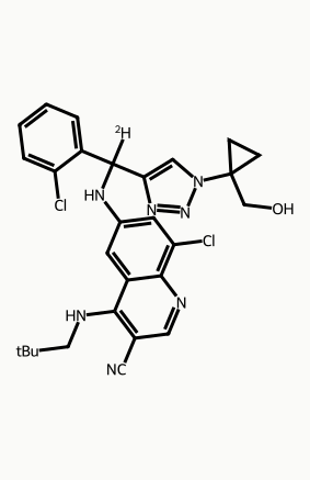 [2H]C(Nc1cc(Cl)c2ncc(C#N)c(NCC(C)(C)C)c2c1)(c1cn(C2(CO)CC2)nn1)c1ccccc1Cl